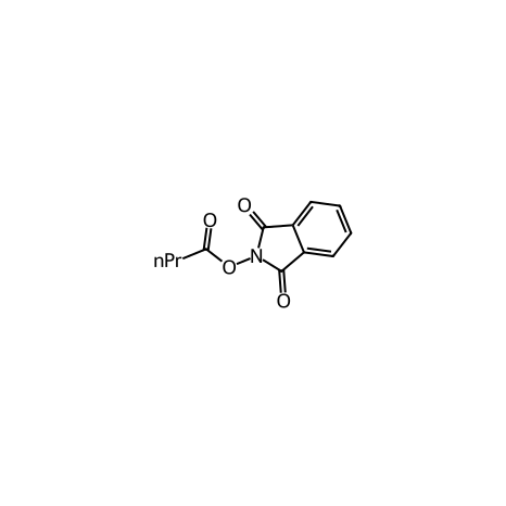 CCCC(=O)ON1C(=O)c2ccccc2C1=O